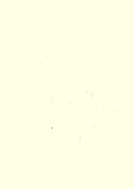 CCC(C)OC(=O)OC(C)C(C)C(c1ccc(OC(=O)OC(C)(C)CC)c(OC(=O)OC(C)(C)CC)c1)[C@H](N)C(=O)O